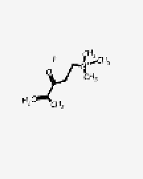 C=C(C)C(=O)CC[N+](C)(C)C.[I-]